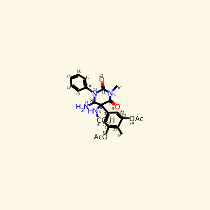 CC(=O)Oc1cc(C2(NC(=O)O)C(=O)N(C)C(=O)N(c3ccccc3)C2N)cc(OC(C)=O)c1C